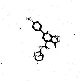 Cc1n[nH]c2nc(-c3ccc(O)cc3)cc(C(=O)NC3CN4CCC3CC4)c12